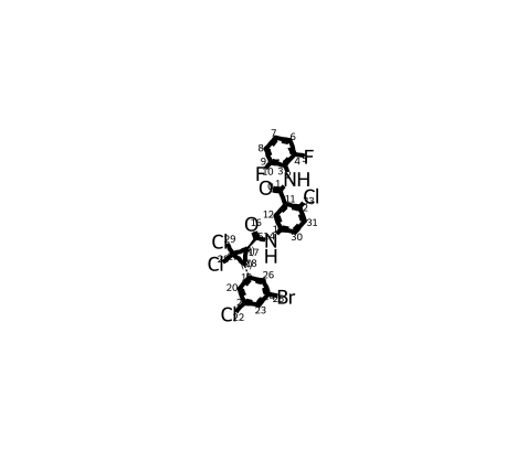 O=C(Nc1c(F)cccc1F)c1cc(NC(=O)[C@H]2[C@H](c3cc(Cl)cc(Br)c3)C2(Cl)Cl)ccc1Cl